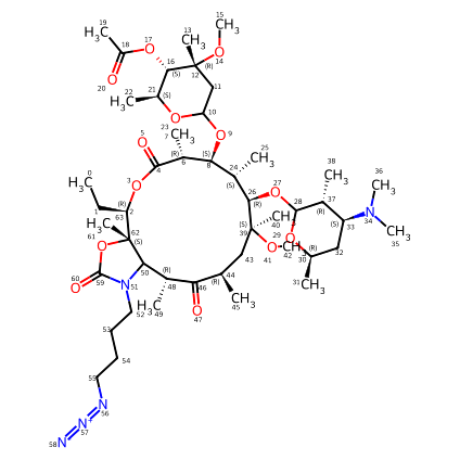 CC[C@H]1OC(=O)[C@H](C)[C@@H](OC2C[C@@](C)(OC)[C@@H](OC(C)=O)[C@H](C)O2)[C@H](C)[C@@H](OC2O[C@H](C)C[C@H](N(C)C)[C@H]2C)[C@@](C)(OC)C[C@@H](C)C(=O)[C@H](C)C2N(CCCCN=[N+]=[N-])C(=O)O[C@@]21C